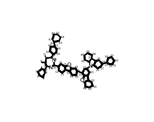 CC1=C(c2ccccc2)N=C(c2ccc3c(c2)oc2cc(-c4cc(N5c6ccc(-c7ccccc7)cc6C6C=CC=CC65)cc5c4oc4ccccc45)ccc23)N=C(c2ccc(C3=CCCC=C3)cc2)[C@@H]1C